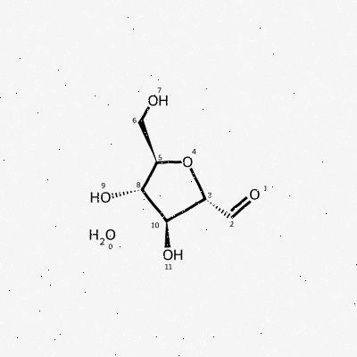 O.O=C[C@H]1O[C@H](CO)[C@@H](O)[C@@H]1O